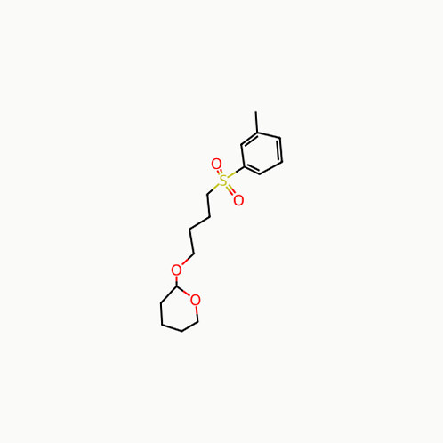 Cc1cccc(S(=O)(=O)CCCCOC2CCCCO2)c1